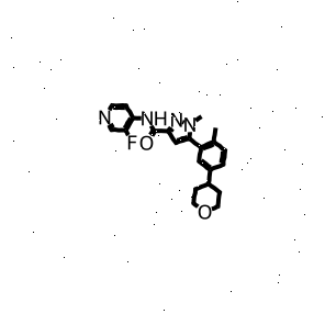 Cc1ccc(C2CCOCC2)cc1-c1cc(C(=O)Nc2ccncc2F)nn1C